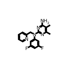 Cc1nc(N(Cc2ccccn2)c2cc(F)cc(F)c2)nc(N)c1C